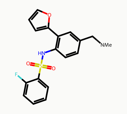 CNCc1ccc(NS(=O)(=O)c2ccccc2F)c(-c2ccco2)c1